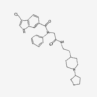 O=C(CN(C(=O)c1ccc2c(Cl)c[nH]c2c1)c1ccccc1)NCCC1CCN(C2CCCC2)CC1